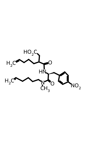 C=CCCCCN(C)C(=O)[C@H](Cc1ccc([N+](=O)[O-])cc1)NC(=O)C(CCCC=C)CC(=O)O